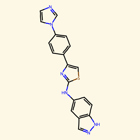 c1cn(-c2ccc(-c3csc(Nc4ccc5[nH]ncc5c4)n3)cc2)cn1